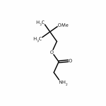 COC(C)(C)COC(=O)CN